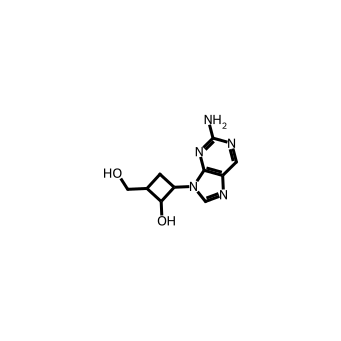 Nc1ncc2ncn(C3CC(CO)C3O)c2n1